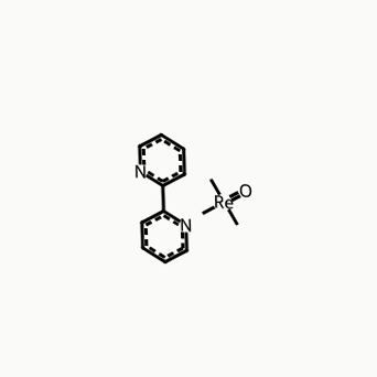 [CH3][Re]([CH3])([CH3])=[O].c1ccc(-c2ccccn2)nc1